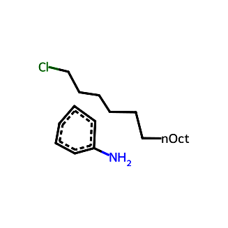 CCCCCCCCCCCCCCCl.Nc1ccccc1